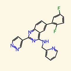 Fc1ccc(F)c(-c2ccc3nc(-c4ccnnc4)nc(NCc4ccccn4)c3c2)c1